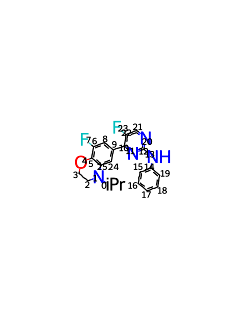 CC(C)N1CCOc2c(F)cc(-c3nc(Nc4ccccc4)ncc3F)cc21